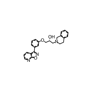 O[C@@H](COc1cccc(-c2noc3ncccc23)c1)CN1CCc2ccccc2C1